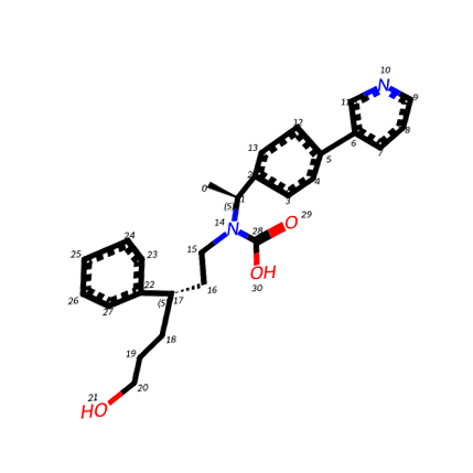 C[C@@H](c1ccc(-c2cccnc2)cc1)N(CC[C@H](CCCO)c1ccccc1)C(=O)O